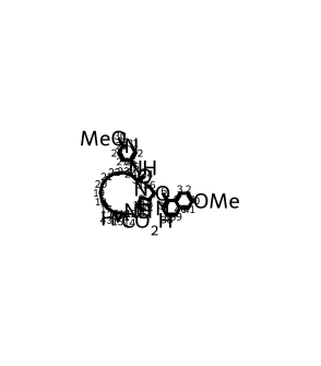 COc1ccc2c(O[C@@H]3C[C@H]4C(=O)N[C@]5(C(=O)O)C[C@H]5/C=C\CCCCC[C@H](Nc5ccc(OC)nc5)C(=O)N4C3)nccc2c1